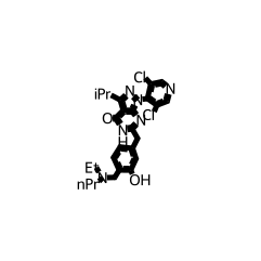 CCCN(CC)Cc1ccc(Cc2nc3c(c(C(C)C)nn3-c3c(Cl)cncc3Cl)c(=O)[nH]2)cc1O